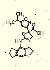 CC(C)c1cc(C2(C(=O)O)CN=C(Nc3c4c(cc5c3CCC5)CCC4)O2)no1